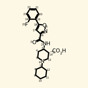 O=C(N[C@@H]1CCN(C2CCCCC2)C[C@H]1C(=O)O)c1cc(-c2ccccc2F)on1